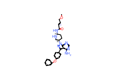 COC/C=C/C(=O)N[C@H]1CC[C@@H](n2nc(-c3ccc(Oc4ccccc4)cc3)c3c(N)ncnc32)CN1